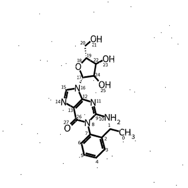 CCc1ccccc1-n1c(N)nc2c(ncn2[C@@H]2O[C@H](CO)C(O)C2O)c1=O